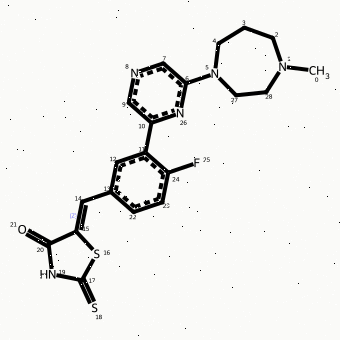 CN1CCCN(c2cncc(-c3cc(/C=C4\SC(=S)NC4=O)ccc3F)n2)CC1